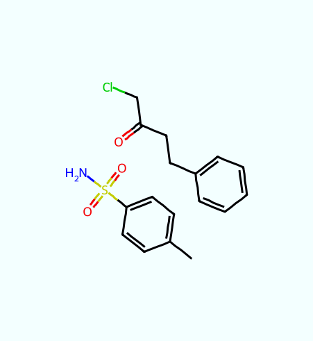 Cc1ccc(S(N)(=O)=O)cc1.O=C(CCl)CCc1ccccc1